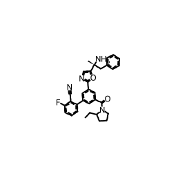 CCC1CCCN1C(=O)c1cc(-c2ncc([C@](C)(N)Cc3ccccc3)o2)cc(-c2cccc(F)c2C#N)c1